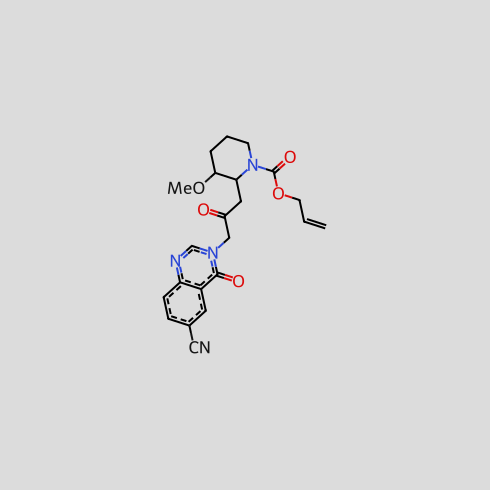 C=CCOC(=O)N1CCCC(OC)C1CC(=O)Cn1cnc2ccc(C#N)cc2c1=O